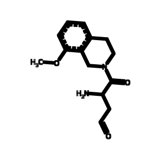 COc1cccc2c1CN(C(=O)C(N)CC=O)CC2